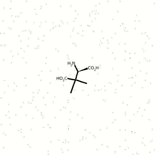 CC(C)(C(=O)O)[C@@H](N)C(=O)O